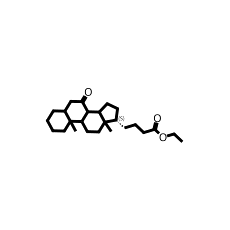 CCOC(=O)CCC[C@H]1CCC2C3C(=O)CC4CCCCC4(C)C3CCC21C